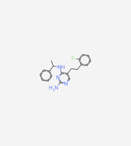 CC(Nc1nc(N)ncc1CCc1ccccc1F)c1ccccc1